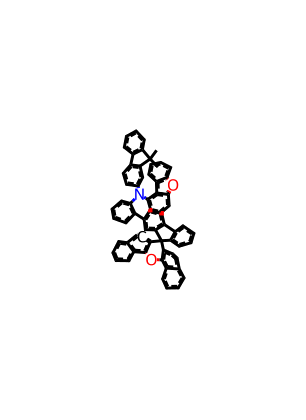 CC1(C)c2ccccc2-c2ccc(N(c3ccccc3-c3ccc4c(c3)C3(c5ccccc5-4)c4ccc5ccccc5c4Oc4c3ccc3ccccc43)c3cccc4oc5ccccc5c34)cc21